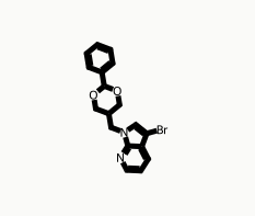 Brc1cn(CC2COC(c3ccccc3)OC2)c2ncccc12